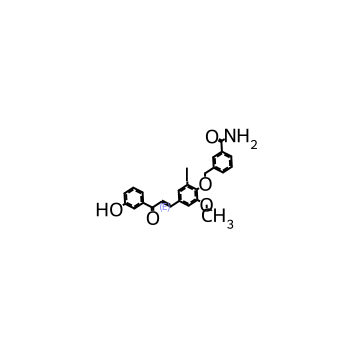 COc1cc(/C=C/C(=O)c2cccc(O)c2)cc(I)c1OCc1cccc(C(N)=O)c1